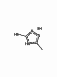 Cc1nnc(S)[nH]1.[KH]